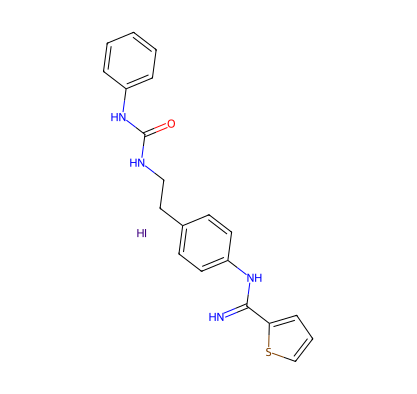 I.N=C(Nc1ccc(CCNC(=O)Nc2ccccc2)cc1)c1cccs1